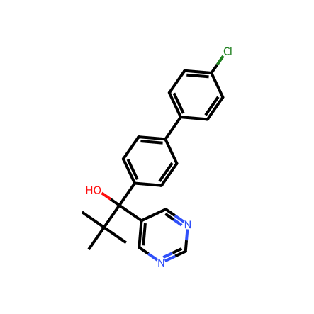 CC(C)(C)C(O)(c1ccc(-c2ccc(Cl)cc2)cc1)c1cncnc1